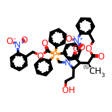 C[C@H](C(=O)OCc1ccccc1[N+](=O)[O-])C1C(=O)N(CP(C(=O)OCc2ccccc2[N+](=O)[O-])(c2ccccc2)(c2ccccc2)c2ccccc2)C1CCO